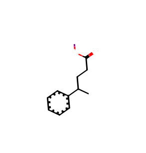 CC(CCC(=O)OP)c1ccccc1